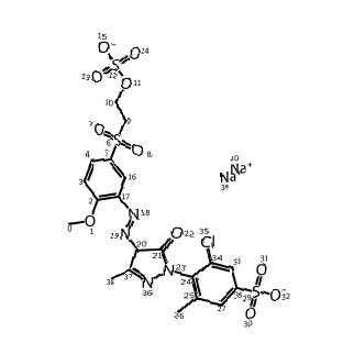 COc1ccc(S(=O)(=O)CCOS(=O)(=O)[O-])cc1N=NC1C(=O)N(c2c(C)cc(S(=O)(=O)[O-])cc2Cl)N=C1C.[Na+].[Na+]